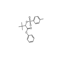 Cc1ccc(S(=O)(=O)OC(C(=O)Oc2ccccc2)C(C)(C)C)cc1